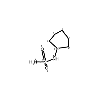 NS(=O)(=O)NN1CCCCC1